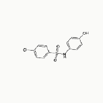 O=S(=O)(Nc1ccc(O)cc1)c1ccc(Cl)cc1